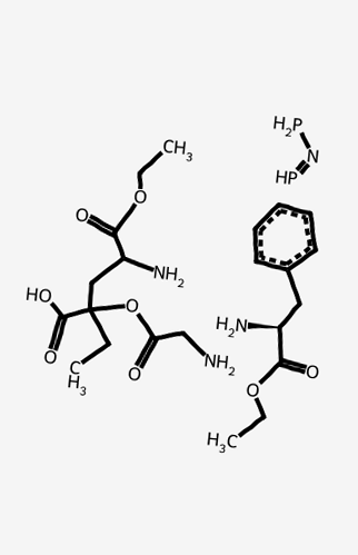 CCOC(=O)C(N)CC(CC)(OC(=O)CN)C(=O)O.CCOC(=O)[C@@H](N)Cc1ccccc1.P=NP